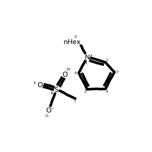 CCCCCC[n+]1ccccc1.CS(=O)(=O)[O-]